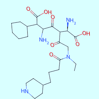 CCN(CC(=O)C(C(=O)C(N)C(C(=O)O)C1CCCCC1)[C@@H](N)C(=O)O)C(=O)CCCC1CCNCC1